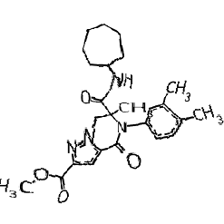 COC(=O)c1cc2n(n1)CC(C)(C(=O)NC1CCCCCC1)N(c1ccc(C)c(C)c1)C2=O